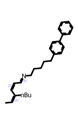 C\C=C(/C=C\C=N\CCCCCc1ccc(-c2ccccc2)cc1)CCCC